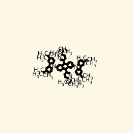 CC(C)(C)c1ccc2c(c1)c1cc(C(C)(C)C)ccc1n2-c1ccc2c(-c3ccc([Si](C)(C)C)nc3)c3cc(-n4c5ccc(C(C)(C)C)cc5c5cc(C(C)(C)C)ccc54)ccc3c(-c3ccc([Si](C)(C)C)nc3)c2c1